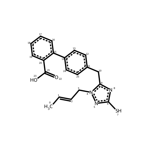 CC=CCn1nc(S)nc1Cc1ccc(-c2ccccc2C(=O)O)cc1